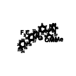 COCC(COC)[C@@H](c1cccc(-n2cc3c(C(F)(F)F)cc(CN4CCCC(C)(C)C4)cn3c2=O)c1)c1nncn1C